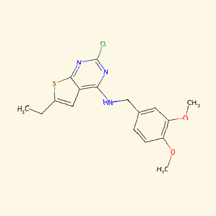 CCc1cc2c(NCc3ccc(OC)c(OC)c3)nc(Cl)nc2s1